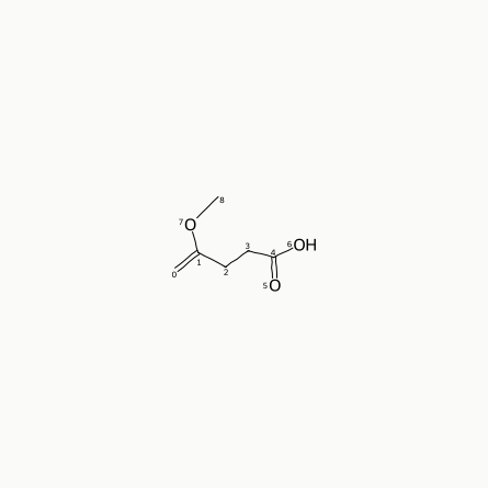 C=C(CCC(=O)O)OC